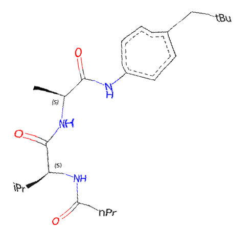 CCCC(=O)N[C@H](C(=O)N[C@@H](C)C(=O)Nc1ccc(CC(C)(C)C)cc1)C(C)C